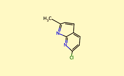 Cc1ccc2ccc(Cl)nc2n1